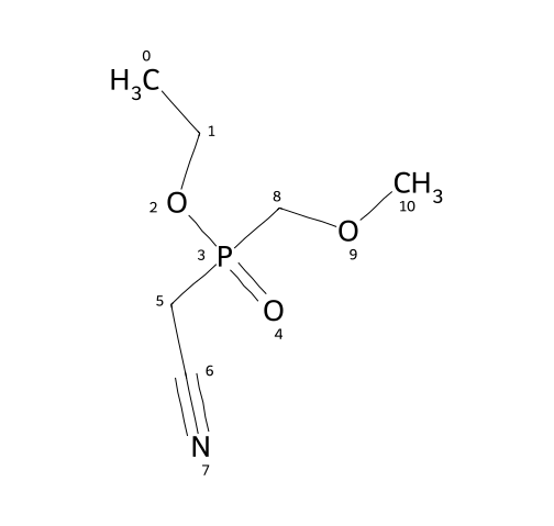 CCOP(=O)(CC#N)COC